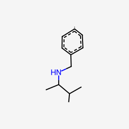 CC(C)C(C)NCc1cc[c]cc1